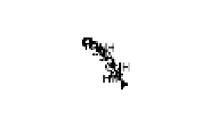 O=C(Cc1csc(NC(=O)Cc2ccccn2)n1)Nc1cc(C2CC2)[nH]n1